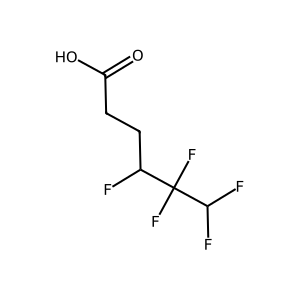 O=C(O)CCC(F)C(F)(F)C(F)F